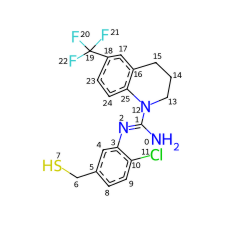 NC(=Nc1cc(CS)ccc1Cl)N1CCCc2cc(C(F)(F)F)ccc21